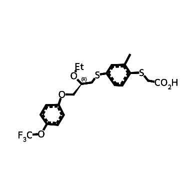 CCO[C@H](COc1ccc(OC(F)(F)F)cc1)CSc1ccc(SCC(=O)O)c(C)c1